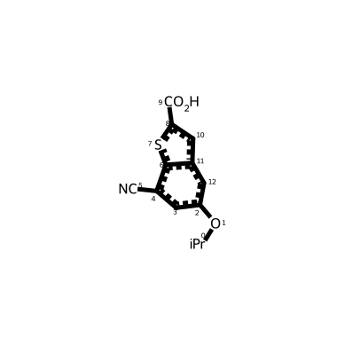 CC(C)Oc1cc(C#N)c2sc(C(=O)O)cc2c1